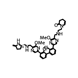 C=C1CC[C@@H](CNCc2ncc(-c3cccc(-c4cccc(-c5cnc(CNCCN6C=CCCC6=O)c(OC)n5)c4Cl)c3Cl)nc2OC)N1